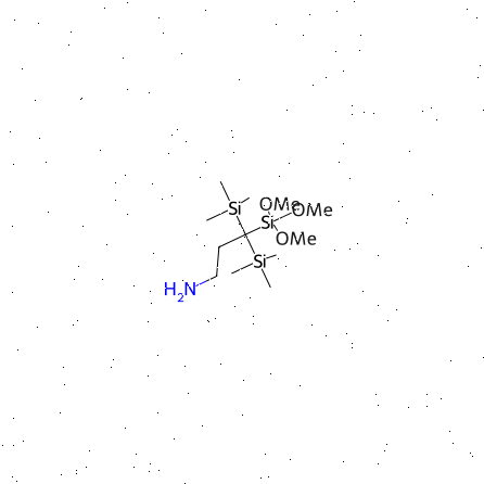 CO[Si](OC)(OC)C(CCN)([Si](C)(C)C)[Si](C)(C)C